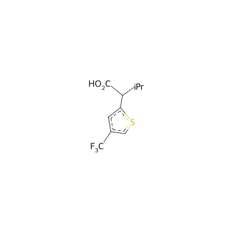 CC(C)C(C(=O)O)c1cc(C(F)(F)F)cs1